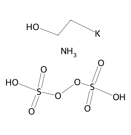 N.O=S(=O)(O)OOS(=O)(=O)O.OC[CH2][K]